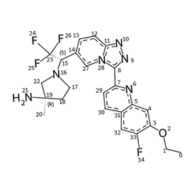 CCOc1cc2nc(-c3nnc4ccc([C@H](N5CC[C@@](C)(N)C5)C(F)(F)F)cn34)ccc2cc1F